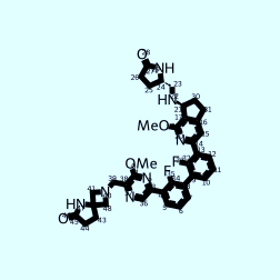 COc1nc(-c2cccc(-c3cccc(-c4cc5c(c(OC)n4)[C@@H](NC[C@@H]4CCC(=O)N4)CC5)c3F)c2F)cnc1CN1CC2(CCC(=O)N2)C1